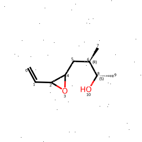 C=CC1OC1C[C@@H](C)[C@H](C)O